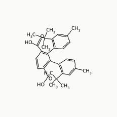 Cc1ccc(-c2c(C(=O)O)ccc(C(=O)O)c2-c2ccc(C)cc2C(C)(C)C)c(C(C)(C)C)c1